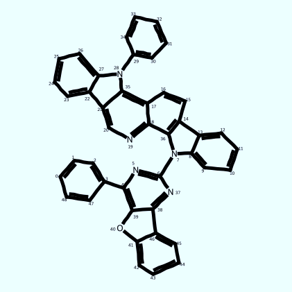 c1ccc(-c2nc(-n3c4ccccc4c4ccc5c(ncc6c7ccccc7n(-c7ccccc7)c65)c43)nc3c2oc2ccccc23)cc1